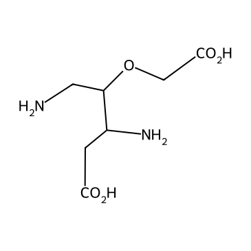 NCC(OCC(=O)O)C(N)CC(=O)O